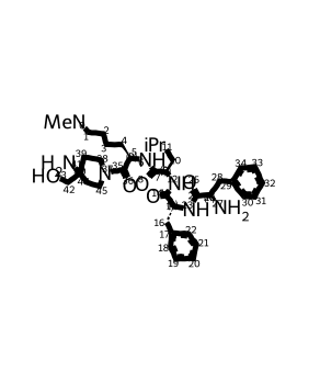 CNCCCC[C@@H](NC(=O)[C@@H](CC(C)C)NC(=O)[C@@H](Cc1ccccc1)NC(=O)[C@H](N)Cc1ccccc1)C(=O)N1CCC(N)(CO)CC1